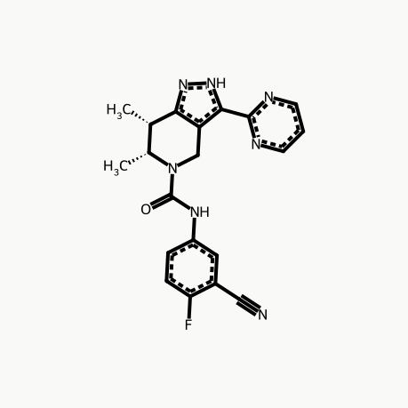 C[C@@H]1c2n[nH]c(-c3ncccn3)c2CN(C(=O)Nc2ccc(F)c(C#N)c2)[C@@H]1C